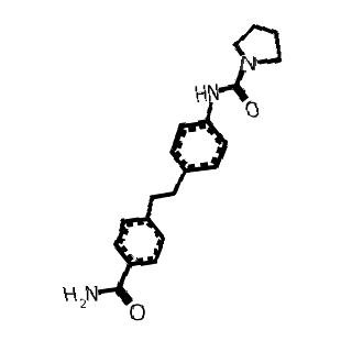 NC(=O)c1ccc(CCc2ccc(NC(=O)N3CCCC3)cc2)cc1